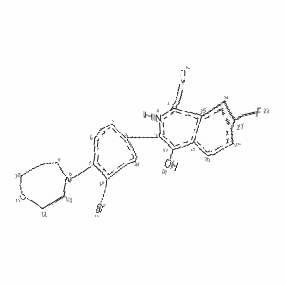 O=c1[nH]c(-c2ccc(N3CCOCC3)c(Br)c2)c(O)c2ccc(F)cc12